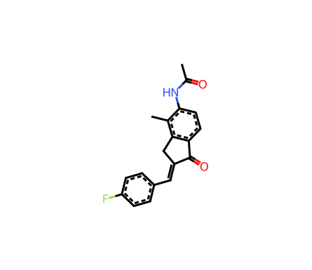 CC(=O)Nc1ccc2c(c1C)C/C(=C\c1ccc(F)cc1)C2=O